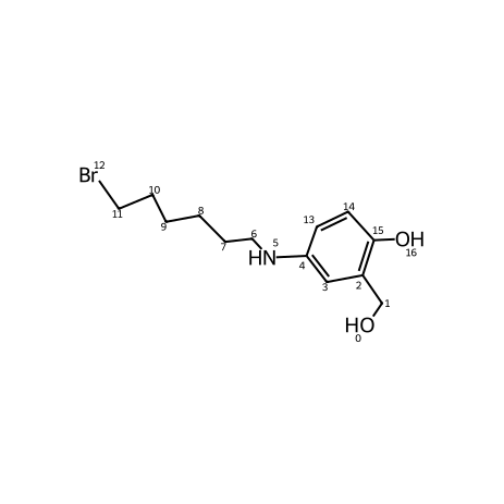 OCc1cc(NCCCCCCBr)ccc1O